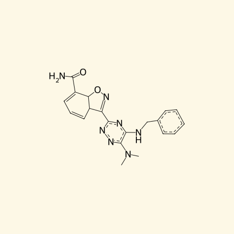 CN(C)c1nnc(C2=NOC3C(C(N)=O)=CC=CC23)nc1NCc1ccccc1